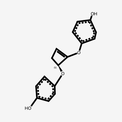 Oc1ccc(OC2=CC[C@@H]2Oc2ccc(O)cc2)cc1